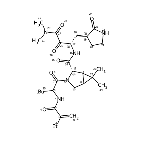 C=C(CC)C(=O)NC(C(=O)N1CC2C([C@H]1C(=O)N[C@@H](C[C@@H]1CCNC1=O)C(=O)C(=O)N(C)C)C2(C)C)C(C)(C)C